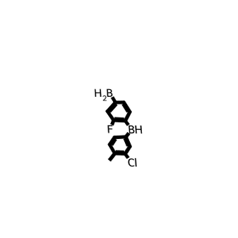 Bc1ccc(Bc2ccc(C)c(Cl)c2)c(F)c1